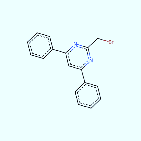 BrCc1nc(-c2ccccc2)cc(-c2ccccc2)n1